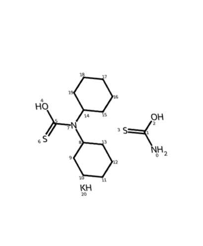 NC(O)=S.OC(=S)N(C1CCCCC1)C1CCCCC1.[KH]